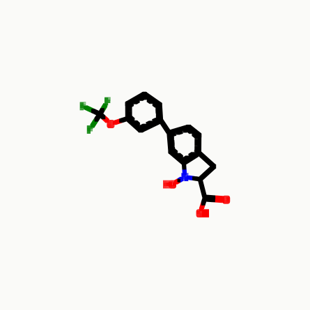 O=C(O)C1Cc2ccc(-c3cccc(OC(F)(F)F)c3)cc2N1O